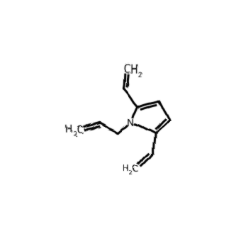 C=CCn1c(C=C)ccc1C=C